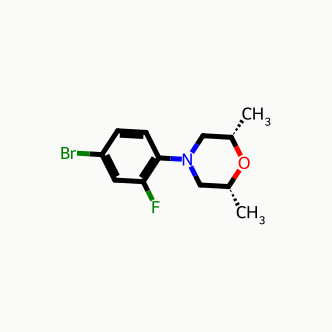 C[C@@H]1CN(c2ccc(Br)cc2F)C[C@H](C)O1